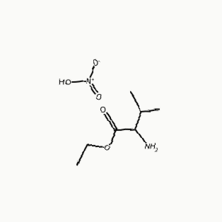 CCOC(=O)C(N)C(C)C.O=[N+]([O-])O